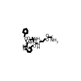 C[C@H](N)C(=O)OCCCNC(=O)OCc1cccc2nnc([C@@H](COCc3ccccc3)NC(=O)C(C)(C)N)n12